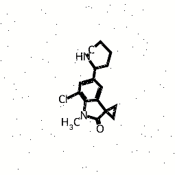 CN1C(=O)C2(CC2)c2cc(C3CCCCN3)cc(Cl)c21